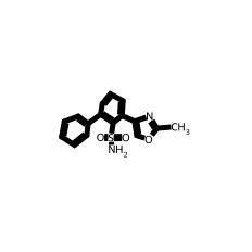 Cc1nc(-c2cccc(-c3ccccc3)c2S(N)(=O)=O)co1